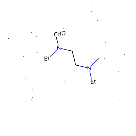 CCN(C)CCN(C=O)CC